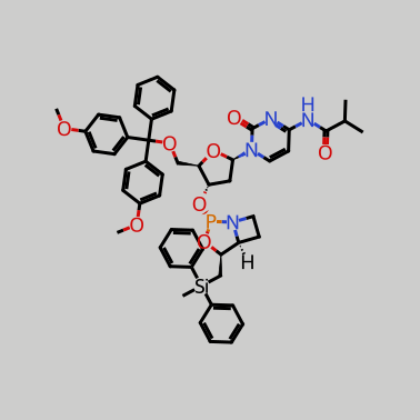 COc1ccc(C(OC[C@H]2O[C@@H](n3ccc(NC(=O)C(C)C)nc3=O)C[C@@H]2O[P@]2O[C@H](C[Si](C)(c3ccccc3)c3ccccc3)[C@@H]3CCN32)(c2ccccc2)c2ccc(OC)cc2)cc1